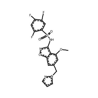 COc1cc(Cn2cccn2)cc2onc(NS(=O)(=O)c3cc(F)c(F)cc3F)c12